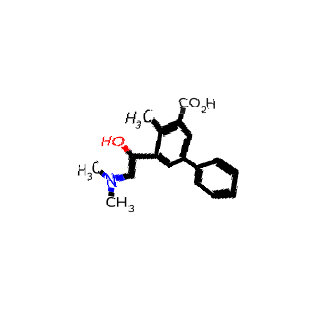 Cc1c(C(=O)O)cc(-c2ccccc2)cc1C(O)CN(C)C